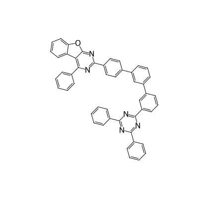 c1ccc(-c2nc(-c3ccccc3)nc(-c3cccc(-c4cccc(-c5ccc(-c6nc(-c7ccccc7)c7c(n6)oc6ccccc67)cc5)c4)c3)n2)cc1